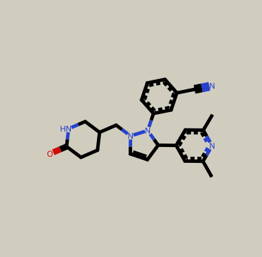 Cc1cc(C2C=CN(CC3CCC(=O)NC3)N2c2cccc(C#N)c2)cc(C)n1